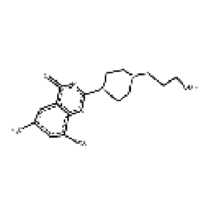 COCCCN1CCN(c2nc(=O)c3cc(C(F)(F)F)cc([N+](=O)[O-])c3s2)CC1